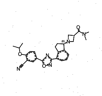 CC(C)Oc1ccc(-c2nc(-c3cccc4c3CC[C@H]4N3CC(C(=O)N(C)C)C3)no2)cc1C#N